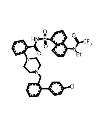 CCN(C(=O)C(F)(F)F)c1cccc2c(S(=O)(=O)NC(=O)c3ccccc3N3CCN(Cc4ccccc4-c4ccc(Cl)cc4)CC3)cccc12